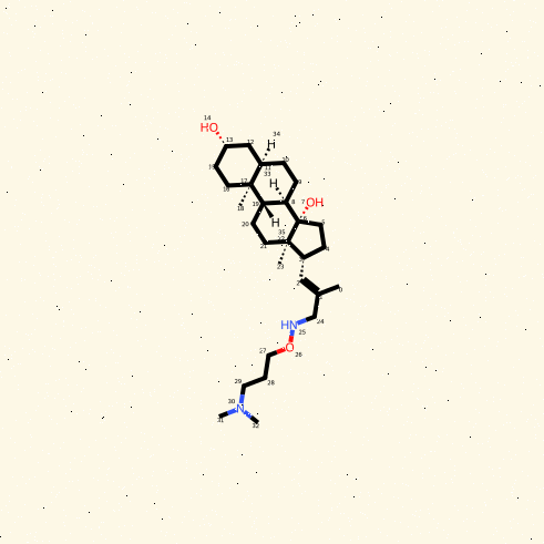 C/C(=C\[C@H]1CC[C@]2(O)[C@@H]3CC[C@@H]4C[C@@H](O)CC[C@]4(C)[C@H]3CC[C@]12C)CNOCCCN(C)C